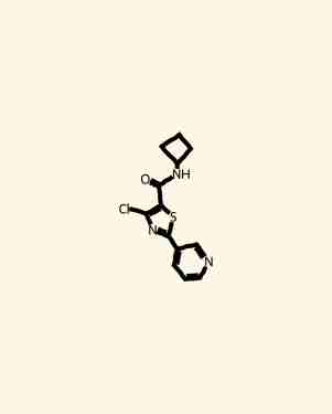 O=C(NC1CCC1)c1sc(-c2cccnc2)nc1Cl